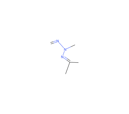 C=NN(C)N=C(C)C